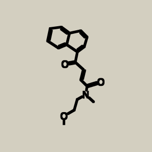 COCCN(C)C(=O)C=CC(=O)c1cccc2ccccc12